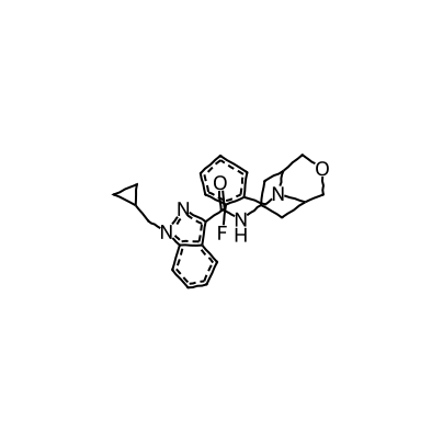 O=C(NC1CC2COCC(C1)N2Cc1ccccc1F)c1nn(CC2CC2)c2ccccc12